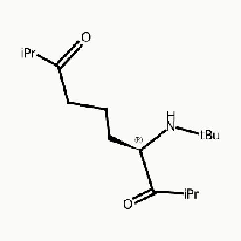 CC(C)C(=O)CCC[C@@H](NC(C)(C)C)C(=O)C(C)C